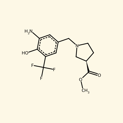 COC(=O)[C@@H]1CCN(Cc2cc(N)c(O)c(C(F)(F)F)c2)C1